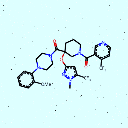 COc1ccccc1N1CCN(C(=O)[C@]2(Oc3cc(C(F)(F)F)n(C)n3)CCCN(C(=O)c3cnccc3C(F)(F)F)C2)CC1